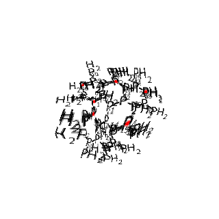 PP(P)P(P)P(P(P(P)P)P(P)P)P(P(P(P)P)P(P)P)P(P(P(P(P)P)P(P)P)P(P(P)P)P(P)P)P(P(P(P)P)P(P)P)P(P(P)P)P(P)P